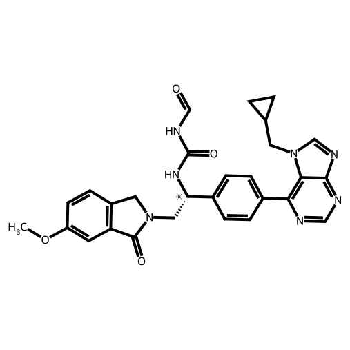 COc1ccc2c(c1)C(=O)N(C[C@H](NC(=O)NC=O)c1ccc(-c3ncnc4ncn(CC5CC5)c34)cc1)C2